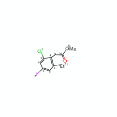 CCc1cc(I)cc(Cl)c1CC(=O)OC